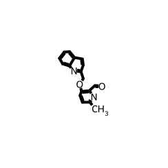 Cc1ccc(OCc2ccc3ccccc3n2)c(C=O)n1